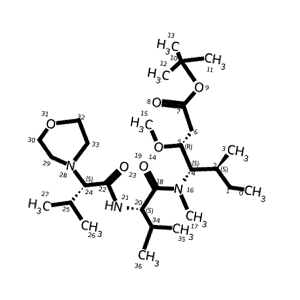 CC[C@H](C)[C@@H]([C@@H](CC(=O)OC(C)(C)C)OC)N(C)C(=O)[C@@H](NC(=O)[C@H](C(C)C)N1CCOCC1)C(C)C